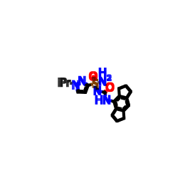 CC(C)n1ccc(S(N)(=O)=NC(=O)Nc2c3c(cc4c2CCC4)CCC3)n1